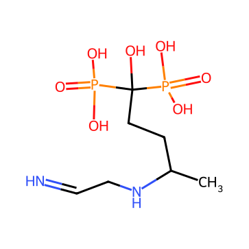 CC(CCC(O)(P(=O)(O)O)P(=O)(O)O)NCC=N